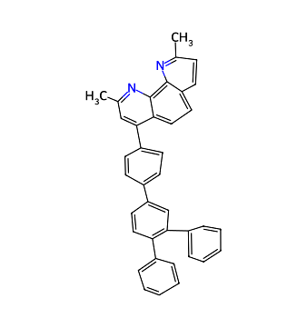 Cc1ccc2ccc3c(-c4ccc(-c5ccc(-c6ccccc6)c(-c6ccccc6)c5)cc4)cc(C)nc3c2n1